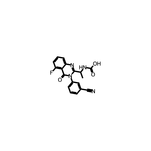 CC(NC(=O)O)c1nc2cccc(F)c2c(=O)n1-c1cccc(C#N)c1